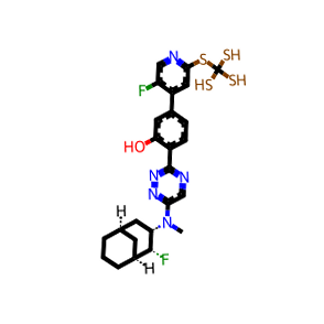 CN(c1cnc(-c2ccc(-c3cc(SC(S)(S)S)ncc3F)cc2O)nn1)[C@H]1C[C@@H]2CCC[C@@H](C2)[C@H]1F